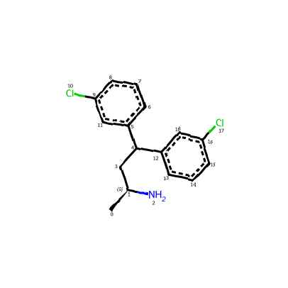 C[C@H](N)CC(c1cccc(Cl)c1)c1cccc(Cl)c1